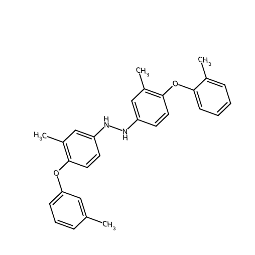 Cc1cccc(Oc2ccc(NNc3ccc(Oc4ccccc4C)c(C)c3)cc2C)c1